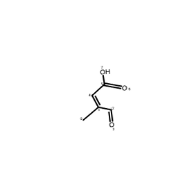 C/C([C]=O)=C/C(=O)O